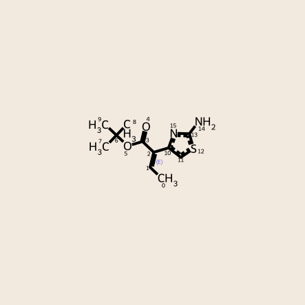 C/C=C(/C(=O)OC(C)(C)C)c1csc(N)n1